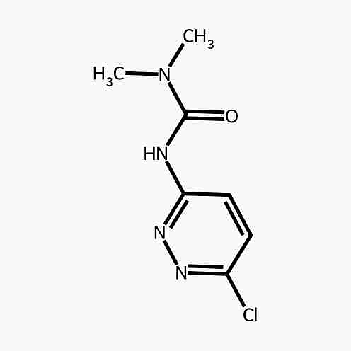 CN(C)C(=O)Nc1ccc(Cl)nn1